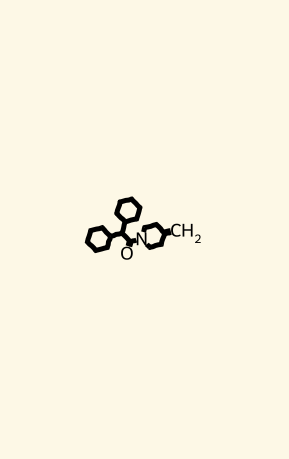 C=C1CCN(C(=O)C(C2CCCCC2)C2CCCCC2)CC1